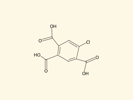 O=C(O)c1cc(C(=O)O)c(C(=O)O)cc1Cl